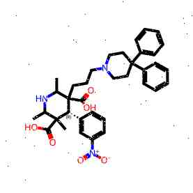 CC1NC(C)C(CCCN2CCC(c3ccccc3)(c3ccccc3)CC2)(C(=O)O)[C@H](c2cccc([N+](=O)[O-])c2)C1(C)C(=O)O